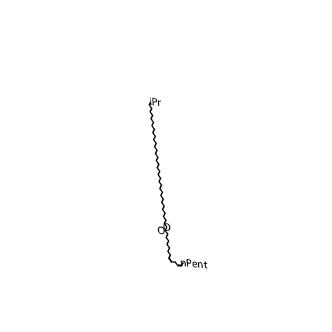 CCCCC/C=C\C/C=C\CCCCCCCC(=O)OCCCCCCCCCCCCCCCCCCCCCCCCCCCCCCCCCCCC(C)C